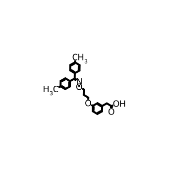 Cc1ccc(C(=NOCCCOc2cccc(CC(=O)O)c2)c2ccc(C)cc2)cc1